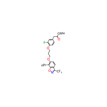 CCCc1c(OCCCOc2ccc(CC(=O)OC)cc2F)ccc2c(C(F)(F)F)noc12